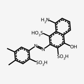 Cc1cc(N=Nc2c(S(=O)(=O)O)c(O)c3cccc(N)c3c2S(=O)(=O)O)c(S(=O)(=O)O)cc1C